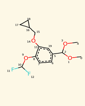 COC(OC)c1ccc(OC(F)F)c(OCC2CC2)c1